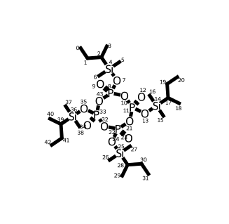 CCC(C)[Si](C)(C)OP1(=O)OP(=O)(O[Si](C)(C)C(C)CC)OP(=O)(O[Si](C)(C)C(C)CC)OP(=O)(O[Si](C)(C)C(C)CC)O1